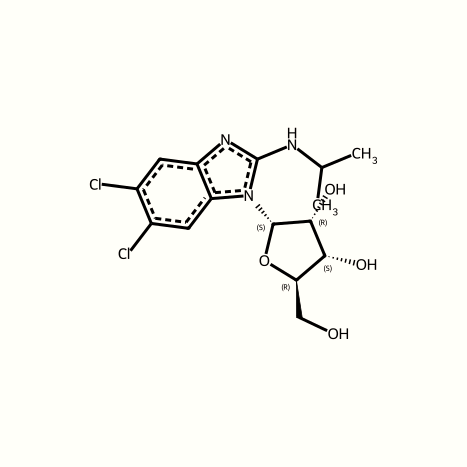 CC(C)Nc1nc2cc(Cl)c(Cl)cc2n1[C@H]1O[C@H](CO)[C@@H](O)[C@H]1O